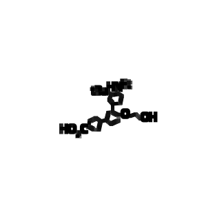 CCNc1ccc(-c2cc(-c3ccc(C(=O)O)cc3)ccc2OCCCO)cc1C(C)(C)C